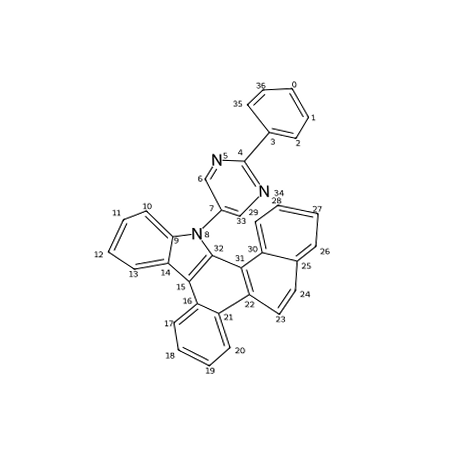 c1ccc(-c2ncc(-n3c4ccccc4c4c5ccccc5c5ccc6ccccc6c5c43)cn2)cc1